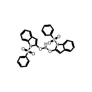 O=S(=O)(c1ccccc1)n1c(OBOc2cc3ccccc3n2S(=O)(=O)c2ccccc2)cc2ccccc21